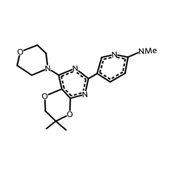 CNc1ccc(-c2nc3c(c(N4CCOCC4)n2)OCC(C)(C)O3)cn1